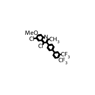 COc1cc2nc(C)c(-c3ccc(-c4ccc(C(F)(F)F)c(C(F)(F)F)c4)cc3)c(Cl)c2cc1Cl